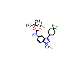 Cn1nc(C2CCC(F)(F)CC2)c2cc(NC(=O)OC(C)(C)C)ccc21